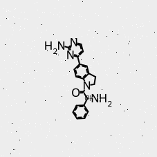 Nc1nccc(-c2ccc3c(c2)CCN3C(=O)[C@H](N)c2ccccc2)n1